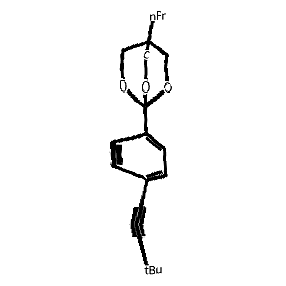 CCCC12COC(c3ccc(C#CC(C)(C)C)cc3)(OC1)OC2